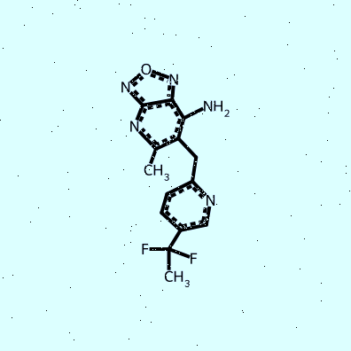 Cc1nc2nonc2c(N)c1Cc1ccc(C(C)(F)F)cn1